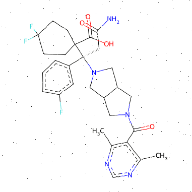 Cc1ncnc(C)c1C(=O)N1CC2CN([C@@](CC(N)=O)(c3cccc(F)c3)C3(C(=O)O)CCC(F)(F)CC3)CC2C1